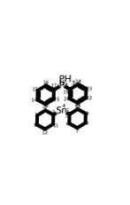 C1CC[CH]([Sn][CH]2CCCCC2)CC1.P.c1ccc([P]c2ccccc2)cc1